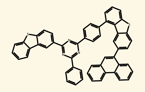 c1ccc(-c2nc(-c3ccc(-c4cccc5sc6ccc(-c7cc8ccccc8c8ccccc78)cc6c45)cc3)nc(-c3ccc4sc5ccccc5c4c3)n2)cc1